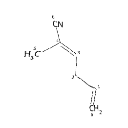 C=CCC=C(C)C#N